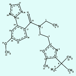 CCN(CCc1nc(C(C)(C)C)c(C)o1)C(=O)c1ccc(OC)cc1-n1nccn1